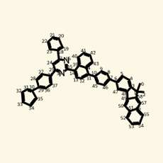 CC1(C)c2ccc(-c3ccc(-c4ccc(-c5nc(-c6ccccc6)cc(-c6ccc(-c7ccccc7)cc6)n5)c5ccccc45)cc3)cc2-c2cc3ccccc3cc21